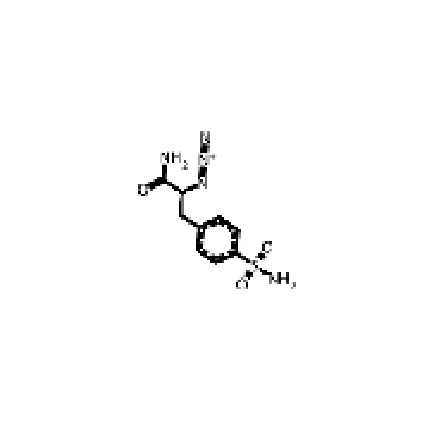 [N-]=[N+]=N[C@@H](Cc1ccc(S(N)(=O)=O)cc1)C(N)=O